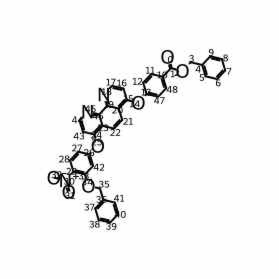 O=C(OCc1ccccc1)c1ccc(Oc2ccnc3c2ccc2c(Oc4ccc([N+](=O)[O-])c(OCc5ccccc5)c4)ccnc23)cc1